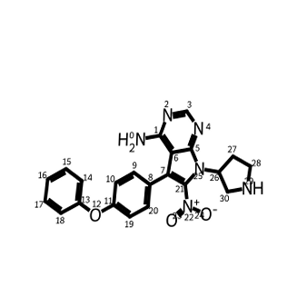 Nc1ncnc2c1c(-c1ccc(Oc3ccccc3)cc1)c([N+](=O)[O-])n2C1CCNC1